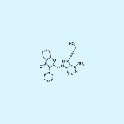 Nc1ncnc2c1c(C#CCO)nn2Cc1oc2ccccc2c(=O)c1-c1ccccc1